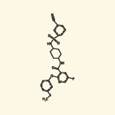 CSc1cccc(Oc2ncc(F)cc2C(=O)NC2CCC(NS(=O)(=O)c3cccc(C#N)c3)CC2)c1